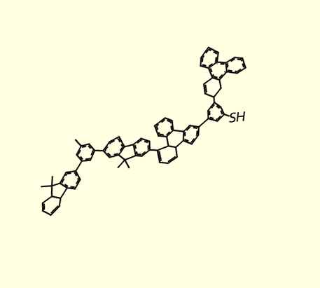 Cc1cc(-c2ccc3c(c2)C(C)(C)c2cc(C4=CC=CC5c6ccc(-c7cc(S)cc(C8C=Cc9c(c%10ccccc%10c%10ccccc9%10)C8)c7)cc6-c6ccccc6C45)ccc2-3)cc(-c2ccc3c(c2)C(C)(C)C2C=CC=CC32)c1